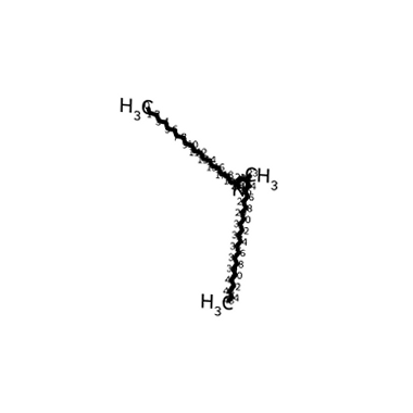 CCCCCCCCCCCCCCCCCCCCc1cc(C)cc(CCCCCCCCCCCCCCCCCCCC)n1